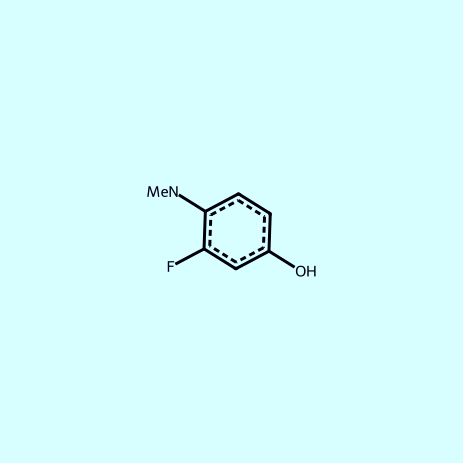 [CH2]Nc1ccc(O)cc1F